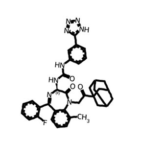 Cc1cccc2c1N(CC(=O)C13CC4CC(CC(C4)C1)C3)C(=O)[C@H](NC(=O)Nc1cccc(-c3nnn[nH]3)c1)N=C2c1ccccc1F